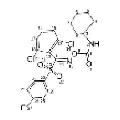 O=C(NC1CCCCC1)O/N=C(\c1c(Cl)cccc1Cl)S(=O)(=O)c1ccc(Cl)cc1